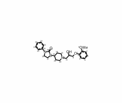 COc1ccccc1OCC(O)CN1CCC(N2CCN(c3ccccc3)C2=O)CC1